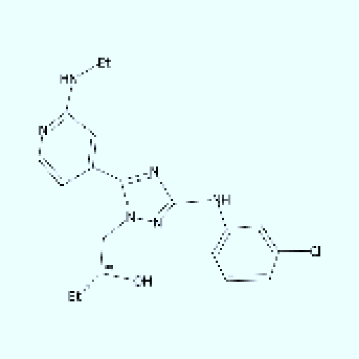 CCNc1cc(-c2nc(Nc3cccc(Cl)c3)nn2C[C@H](O)CC)ccn1